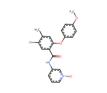 Cc1cc(Oc2ccc(OC(F)(F)F)cc2)c(C(=O)Nc2ccc[n+]([O-])c2)cc1Cl